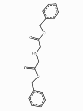 O=C(CNCC(=O)OCc1ccccc1)OCc1ccccc1